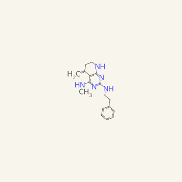 C=C1CCNc2nc(NCCc3ccccc3)nc(NC)c21